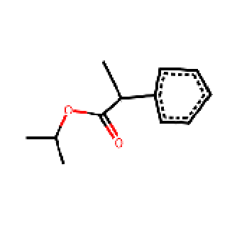 C[C](C(=O)OC(C)C)c1ccccc1